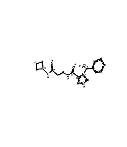 C[C@H](c1ccccc1)n1cncc1C(=O)OCCC(=O)OC1CCC1